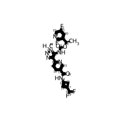 C[C@@H](OC(=O)Nc1c(-c2ccc(C(=O)NC34CC(C(F)F)(C3)C4)cn2)nnn1C)c1cc(F)cnc1F